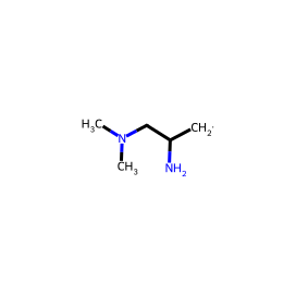 [CH2]C(N)CN(C)C